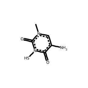 Cn1cc(N)c(=O)n(S)c1=O